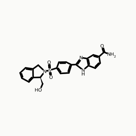 NC(=O)c1ccc2[nH]c(-c3ccc(S(=O)(=O)N4Cc5ccccc5[C@@H]4CO)cc3)nc2c1